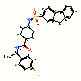 C[C@@H](NC(=O)C1CCC(NS(=O)(=O)c2ccc3c(c2)Cc2ccccc2-3)CC1)c1ccc(F)cc1